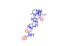 C=C1C(c2nc3c([nH]2)C(=O)N(CCC)[C@@H]2NCCC(C)N32)C=NN1CC(=O)NC1COC1